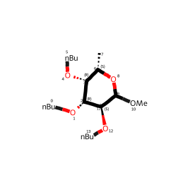 CCCCO[C@@H]1[C@H](OCCCC)[C@H](C)OC(OC)[C@H]1OCCCC